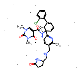 C[C@H]1C(c2ccccc2Cl)=CC=CC1(NC(=O)c1cn(C)c(=O)n(C)c1=O)c1ccc(CNCC2CCC(=O)N2)c(C(F)(F)F)n1